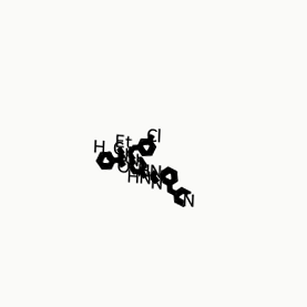 CCC(c1cccc(Cl)c1)C(N1CCC(Nc2nc3c(Cc4ccncc4)cccc3[nH]2)CC1)N(C)C(=O)c1ccccc1